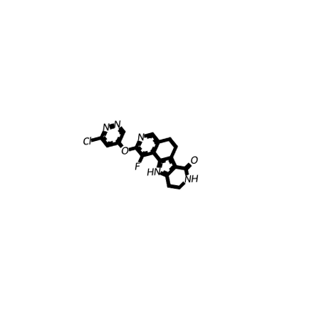 O=C1NCCc2[nH]c3c(c21)CCc1cnc(Oc2cnnc(Cl)c2)c(F)c1-3